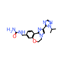 CC(C)n1ncnc1-c1cn2c(n1)-c1ccc(CNC(N)=O)cc1OCC2